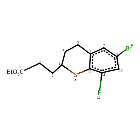 CCOC(=O)CCC1CCc2cc(Br)cc(F)c2S1